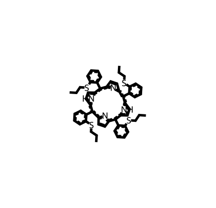 CCCSc1ccccc1-c1c2nc(c(-c3ccccc3SCCC)c3ccc([nH]3)c(-c3ccccc3SCCC)c3nc(c(-c4ccccc4SCCC)c4ccc1[nH]4)C=C3)C=C2